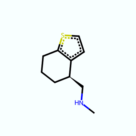 CNC[C@H]1CCCc2sccc21